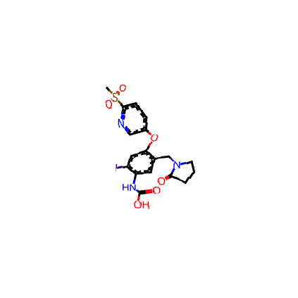 CS(=O)(=O)c1ccc(Oc2cc(I)c(NC(=O)O)cc2CN2CCCC2=O)cn1